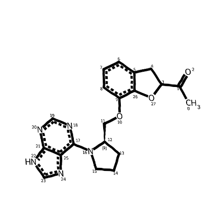 CC(=O)C1Cc2cccc(OC[C@H]3CCCN3c3ncnc4[nH]cnc34)c2O1